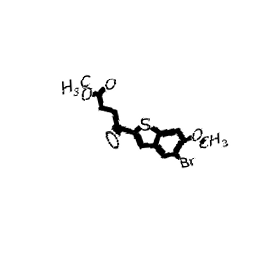 COC(=O)CCC(=O)c1cc2cc(Br)c(OC)cc2s1